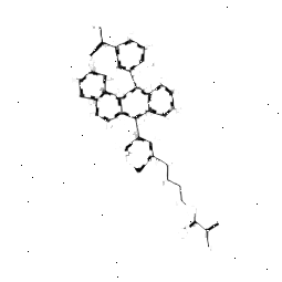 C=C(C)C(=O)OCCCCc1cccc(-c2c3ccccc3c(-c3cccc(C(=C)C)c3)c3c2ccc2ccccc23)c1